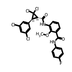 COc1c(NC(=O)[C@@H]2[C@@H](c3cc(Cl)cc(Cl)c3)C2(Cl)Cl)cccc1C(=O)Nc1ccc(F)cc1